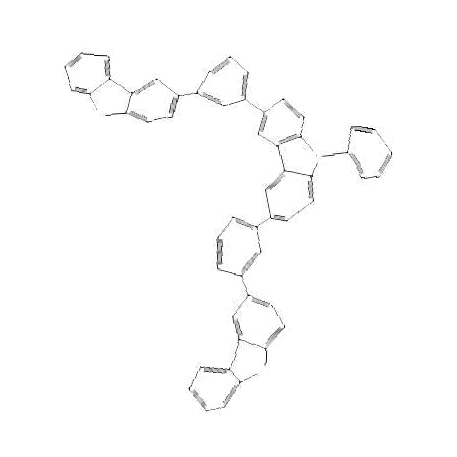 c1ccc(-n2c3ccc(-c4cccc(-c5ccc6oc7ccccc7c6c5)c4)cc3c3cc(-c4cccc(-c5ccc6oc7ccccc7c6c5)c4)ccc32)cc1